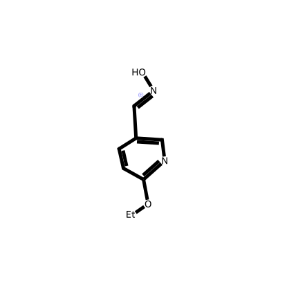 CCOc1ccc(/C=N/O)cn1